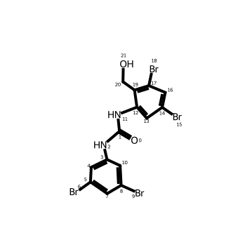 O=C(Nc1cc(Br)cc(Br)c1)Nc1cc(Br)cc(Br)c1CO